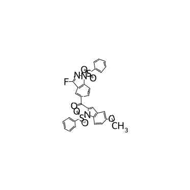 COc1ccc2c(c1)cc(C(=O)c1ccc3c(c1)c(F)nn3S(=O)(=O)c1ccccc1)n2S(=O)(=O)c1ccccc1